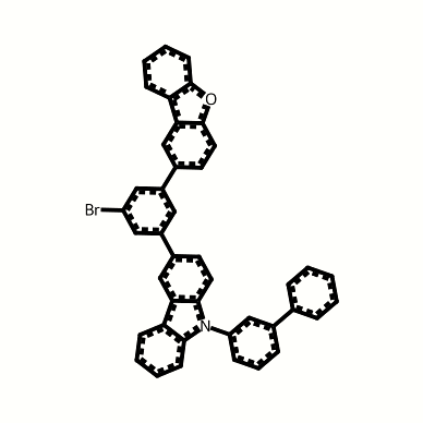 Brc1cc(-c2ccc3oc4ccccc4c3c2)cc(-c2ccc3c(c2)c2ccccc2n3-c2cccc(-c3ccccc3)c2)c1